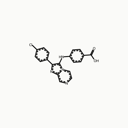 O=C(O)c1ccc(Nc2c(-c3ccc(Cl)cc3)nc3cnccn23)cc1